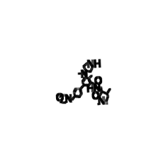 Cc1c(C(=O)NCC2C(=O)N(C)C(C)CC2C)cc(-c2ccc(CN3CCOCC3)cc2)cc1N(C)C1CCNCC1